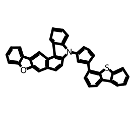 c1cc(-c2cccc3c2sc2ccccc23)cc(-n2c3ccccc3c3c4cc5c(cc4ccc32)oc2ccccc25)c1